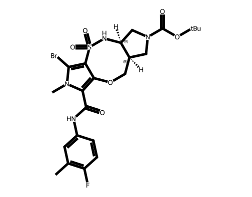 Cc1cc(NC(=O)c2c3c(c(Br)n2C)S(=O)(=O)N[C@H]2CN(C(=O)OC(C)(C)C)C[C@H]2CO3)ccc1F